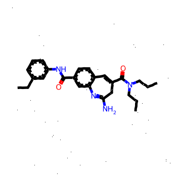 CCCN(CCC)C(=O)C1=Cc2ccc(C(=O)Nc3cccc(CC)c3)cc2N=C(N)C1